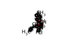 COc1ccccc1-c1nccc(COc2ccccc2CC(Oc2nsc3cnc(-c4ccc(F)c(Cl)c4)c(-c4ccc(OCCN5CCN(C)CC5)c(Cl)c4C)c23)C(O)O)n1